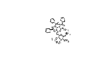 CC1C(CN)OC(OC2OC(CN)C(OC(=O)c3ccccc3)C(OC(=O)c3ccccc3)C2OC(=O)c2ccccc2)C(C)C1C